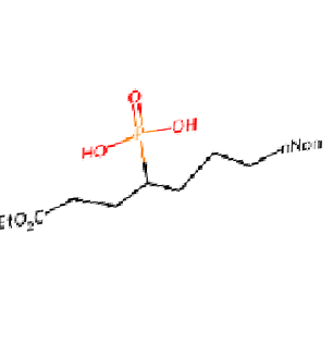 CCCCCCCCCCCCC(CCC(=O)OCC)P(=O)(O)O